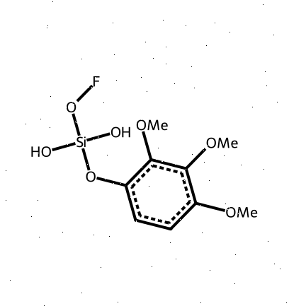 COc1ccc(O[Si](O)(O)OF)c(OC)c1OC